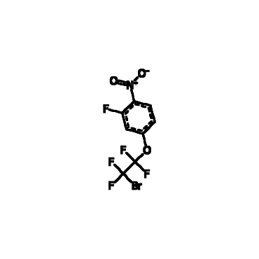 O=[N+]([O-])c1ccc(OC(F)(F)C(F)(F)Br)cc1F